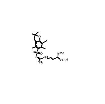 CN[C@H](CCCNC(N)=NS(=O)(=O)c1c(C)c(C)c2c(c1C)CC(C)(C)O2)C(=O)O